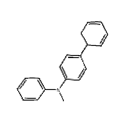 CN(c1ccccc1)c1ccc(C2C=CC=CC2)cc1